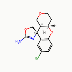 NC1=N[C@@]2(CO1)c1cc(Br)ccc1O[C@H]1CCOC[C@@H]12